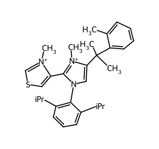 Cc1ccccc1C(C)(C)c1cn(-c2c(C(C)C)cccc2C(C)C)c(-c2csc[n+]2C)[n+]1C